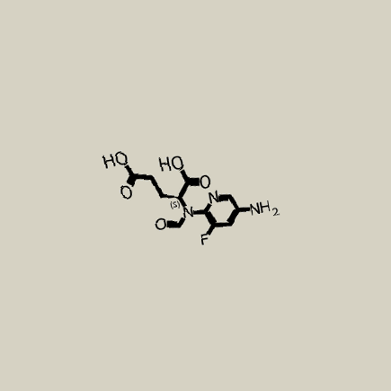 Nc1cnc(N(C=O)[C@@H](CCC(=O)O)C(=O)O)c(F)c1